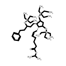 CC[Si](CC)(CC)OC(CCc1ccccc1)CC[C@H]1C(O[Si](CC)(CC)CC)CC(O[Si](CC)(CC)CC)[C@@H]1C/C=C\CCCC(=O)OC(C)C